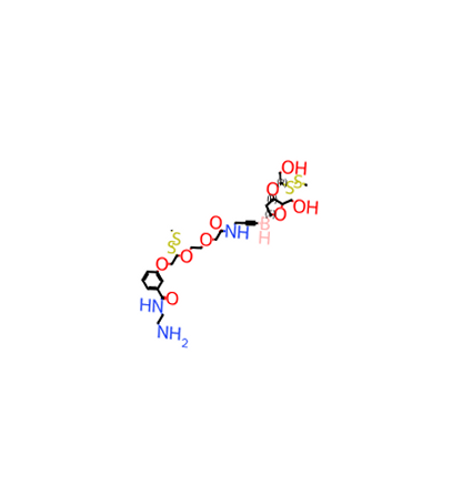 CSSC(COc1cccc(C(=O)NCCN)c1)OCCOCC(=O)NCC#CB[C@H]1C[C@@H](O[C@@H](CO)SSC)C(CO)O1